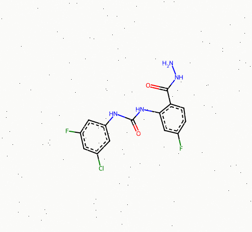 NNC(=O)c1ccc(F)cc1NC(=O)Nc1cc(F)cc(Cl)c1